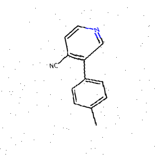 Cc1ccc(-c2cnccc2C#N)cc1